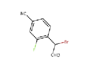 N#Cc1ccc(C(Br)C=O)c(F)c1